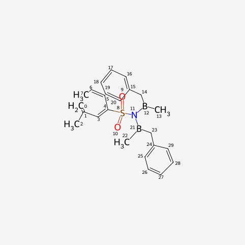 C=C(C)/C=C(\C=C/C)S(=O)(=O)N(B(C)Cc1ccccc1)B(C)Cc1ccccc1